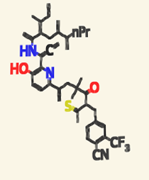 C=C=C(NC(=C)/C(CC(=C)C(=C)CCC)=C(\C)C=C)c1nc(C(=C)CC(C)(C)C(=O)C(Cc2ccc(C#N)c(C(F)(F)F)c2)C(C)=S)ccc1O